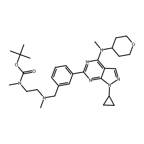 CN(CCN(C)C(=O)OC(C)(C)C)Cc1cccc(-c2nc(N(C)C3CCOCC3)c3cnn(C4CC4)c3n2)c1